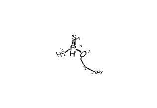 CC(C)CO[PH](=S)S